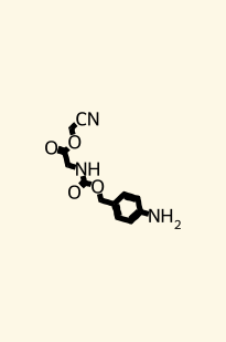 N#CCOC(=O)CNC(=O)OCc1ccc(N)cc1